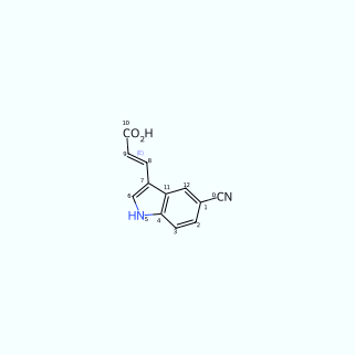 N#Cc1ccc2[nH]cc(/C=C/C(=O)O)c2c1